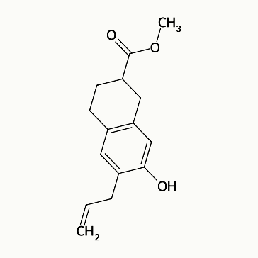 C=CCc1cc2c(cc1O)CC(C(=O)OC)CC2